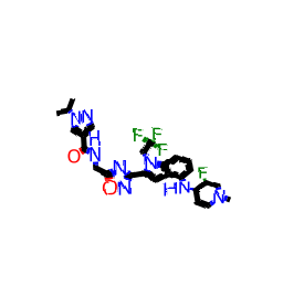 CC(C)n1cc(C(=O)NCc2nc(-c3cc4c(N[C@@H]5CCN(C)C[C@@H]5F)cccc4n3CC(F)(F)F)no2)cn1